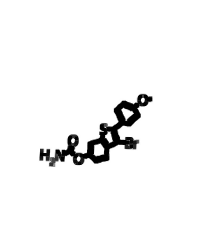 COc1ccc(-c2sc3cc(OC(N)=O)ccc3c2Br)cc1